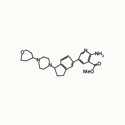 COC(=O)c1cc(-c2ccc3c(c2)CCC3N2CCN(C3CCOCC3)CC2)cnc1N